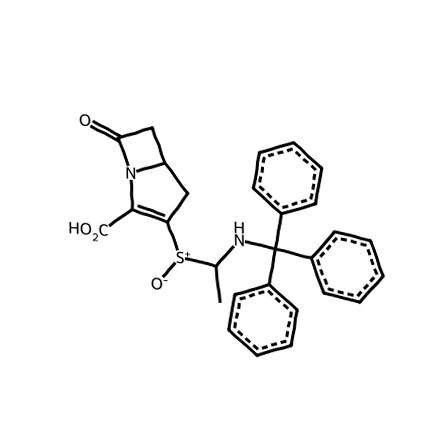 CC(NC(c1ccccc1)(c1ccccc1)c1ccccc1)[S+]([O-])C1=C(C(=O)O)N2C(=O)CC2C1